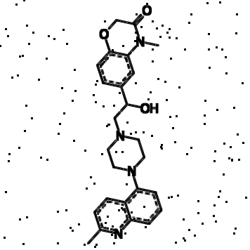 Cc1ccc2c(N3CCN(CC(O)c4ccc5c(c4)N(C)C(=O)CO5)CC3)cccc2n1